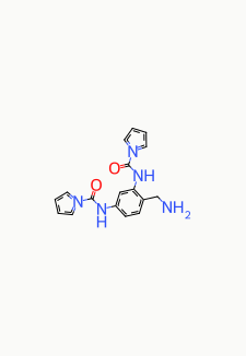 NCc1ccc(NC(=O)n2cccc2)cc1NC(=O)n1cccc1